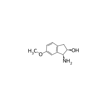 COc1ccc2c(c1)[C@H](N)[C@H](O)C2